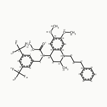 COC(=O)N(Cc1cc(C(F)(F)F)cc(C(F)(F)F)c1)C1CC(C)N(CCCc2ccccc2)c2cc(OC)c(OC)cc21